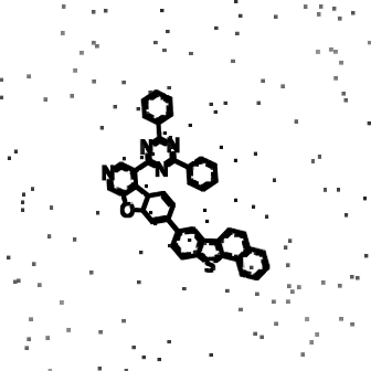 C1=CC2c3c(cncc3-c3nc(-c4ccccc4)nc(-c4ccccc4)n3)OC2C=C1c1ccc2sc3c4ccccc4ccc3c2c1